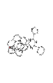 c1ccc(-c2nc(-c3ccccc3)nc(-c3ccc(-n4c5ccc6ccc7ccc8ccc9ccc%10ccc4c4c%10c9c8c7c6c45)cc3)n2)cc1